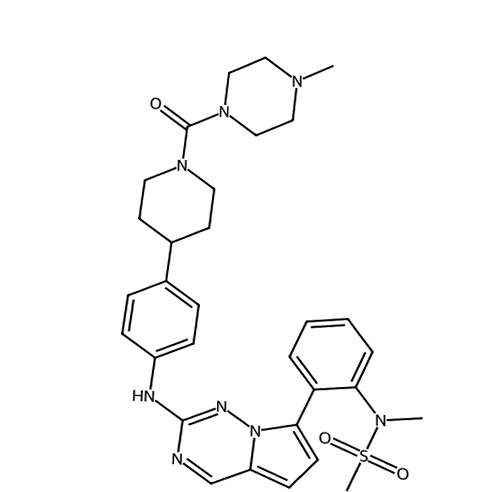 CN1CCN(C(=O)N2CCC(c3ccc(Nc4ncc5ccc(-c6ccccc6N(C)S(C)(=O)=O)n5n4)cc3)CC2)CC1